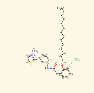 CCCCCCCCCCCCCCOc1c(F)cccc1CC(=O)Nc1cccc(-c2scc[n+]2C)c1.[Cl-]